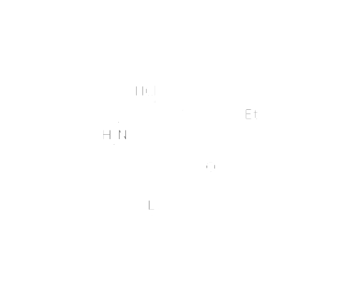 CCc1cc(N)c(CC)o1.Cl